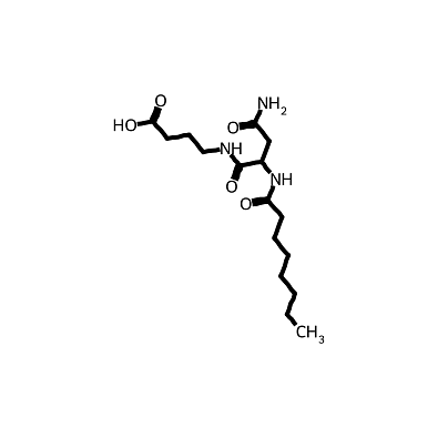 CCCCCCCC(=O)NC(CC(N)=O)C(=O)NCCCC(=O)O